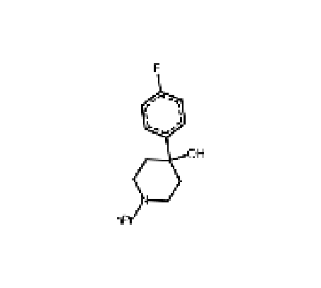 [CH2]CCN1CCC(O)(c2ccc(F)cc2)CC1